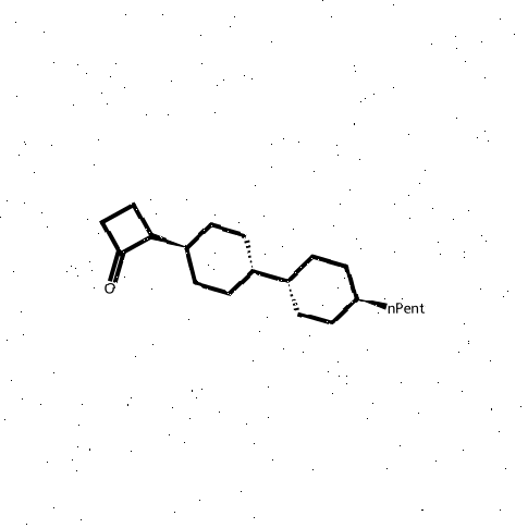 CCCCC[C@H]1CC[C@H]([C@H]2CC[C@H](C3CCC3=O)CC2)CC1